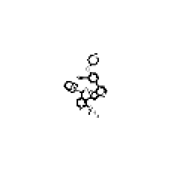 COc1nccc(C(=O)N2CC3CCC(C2)O3)c1-c1cc2nccc(-c3ccc(OC4CCOCC4)c(C#N)c3)c2o1